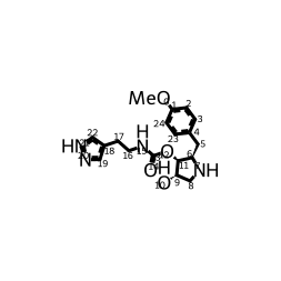 COc1ccc(C[C@H]2NC[C@H](O)[C@H]2OC(=O)NCCc2cn[nH]c2)cc1